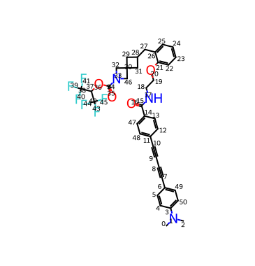 CN(C)c1ccc(C#CC#Cc2ccc(C(=O)NCCOc3ccccc3CC3CC4(C3)CN(C(=O)OC(C(F)(F)F)C(F)(F)F)C4)cc2)cc1